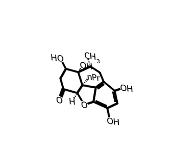 CCC[C@]12c3c4c(O)cc(O)c3O[C@H]1C(=O)CC(O)[C@@]2(O)[C@H](C)C4